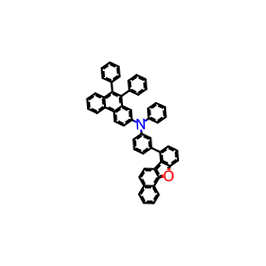 c1ccc(-c2c(-c3ccccc3)c3cc(N(c4ccccc4)c4cccc(-c5cccc6oc7c8ccccc8ccc7c56)c4)ccc3c3ccccc23)cc1